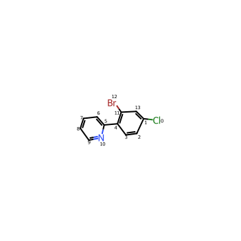 Clc1ccc(-c2ccccn2)c(Br)c1